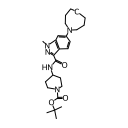 Cn1nc(C(=O)NC2CCN(C(=O)OC(C)(C)C)CC2)c2ccc(N3CCCCCCC3)cc21